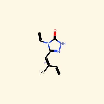 C=C/C(=C\c1n[nH]c(=O)n1C=C)C(C)C